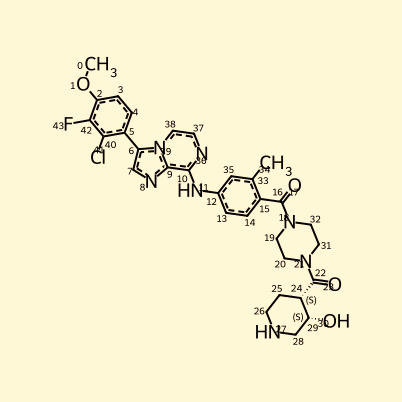 COc1ccc(-c2cnc3c(Nc4ccc(C(=O)N5CCN(C(=O)[C@H]6CCNC[C@H]6O)CC5)c(C)c4)nccn23)c(Cl)c1F